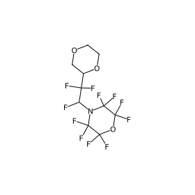 FC(N1C(F)(F)C(F)(F)OC(F)(F)C1(F)F)C(F)(F)C1COCCO1